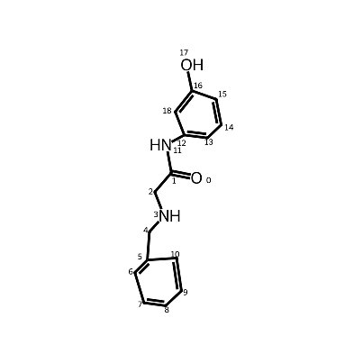 O=C(CNCc1ccccc1)Nc1cccc(O)c1